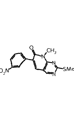 CSc1ncc2cc(-c3cccc([N+](=O)[O-])c3)c(=O)n(C)c2n1